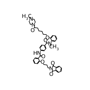 CN1CCN(C(=O)CCCCCOc2ccccc2N(C)C(=O)c2ccc(NC(=O)c3ccccc3OCCCN3C(=O)c4ccccc4C3=O)cc2)CC1